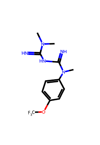 CN(C)C(=N)NC(=N)N(C)c1ccc(OC(F)(F)F)cc1